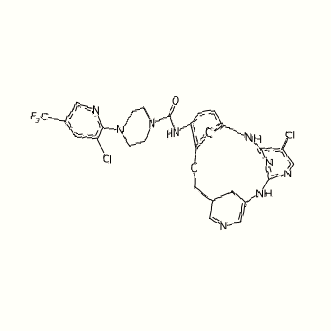 O=C(Nc1ccc2cc1CCC1C=NC=C(C1)Nc1ncc(Cl)c(n1)N2)N1CCN(c2ncc(C(F)(F)F)cc2Cl)CC1